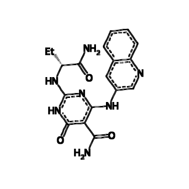 CC[C@@H](Nc1nc(Nc2cnc3ccccc3c2)c(C(N)=O)c(=O)[nH]1)C(N)=O